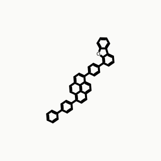 c1ccc(-c2ccc(-c3ccc4ccc5c(-c6ccc(-c7cccc8c7oc7ccccc78)cc6)ccc6ccc3c4c65)cc2)cc1